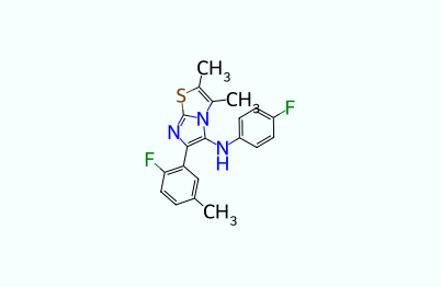 Cc1ccc(F)c(-c2nc3sc(C)c(C)n3c2Nc2ccc(F)cc2)c1